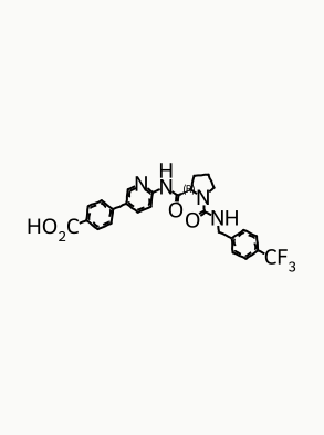 O=C(O)c1ccc(-c2ccc(NC(=O)[C@H]3CCCN3C(=O)NCc3ccc(C(F)(F)F)cc3)nc2)cc1